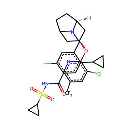 O=C(NS(=O)(=O)C1CC1)c1cc(C2CC2)c(CN2C3CC[C@H]2C[C@@H](Oc2ncc(C(F)(F)F)cc2Cl)C3)cc1F